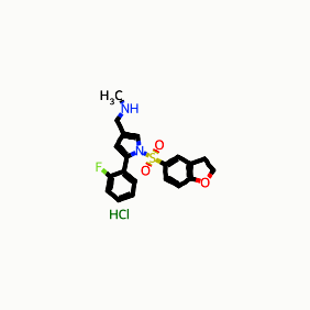 CNCc1cc(-c2ccccc2F)n(S(=O)(=O)c2ccc3c(c2)CCO3)c1.Cl